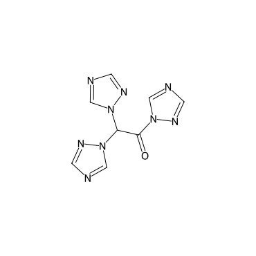 O=C(C(n1cncn1)n1cncn1)n1cncn1